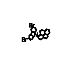 Brc1ccc2c(c1)c1cc(Br)ccc1n2-c1ccc2ccc3cccc4ccc1c2c34